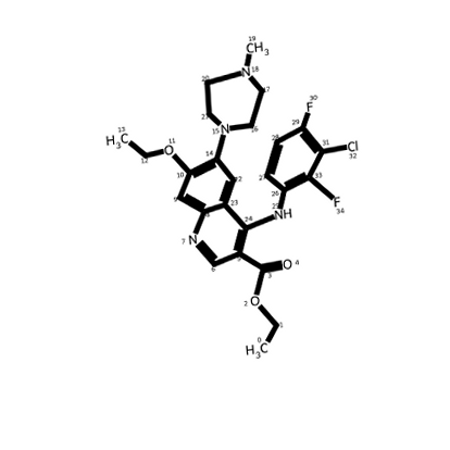 CCOC(=O)c1cnc2cc(OCC)c(N3CCN(C)CC3)cc2c1Nc1ccc(F)c(Cl)c1F